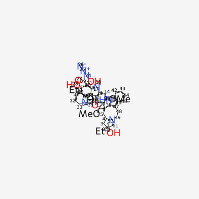 CC[C@]1(O)CC2CC(C(=O)OC)(c3cc4c(cc3OC)N(C)C3[C@@](O)(C(=O)N=[N+]=[N-])C(O)[C@]5(CC)C=CCN6CC[C@]43[C@@H]65)c3[nH]c4ccccc4c3CCN2C1